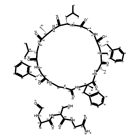 CC(C)C[C@@H]1NC(=O)CNC(=O)[C@H](Cc2ccccc2)N(C)C(=O)[C@H](C)NC(=O)[C@](C)(Cc2ccccc2)NC(=O)CCNC(=O)[C@H](Cc2ccccc2)NC(=O)[C@H](C(C)C)NC(=O)[C@H](C)NC1=O.CC(NC=O)C(=O)NC(CO)C(=O)NCC(N)=O